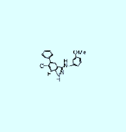 COc1cccc(CNc2n[nH]c3c(F)c(Cl)c(-c4ccccc4)cc23)c1